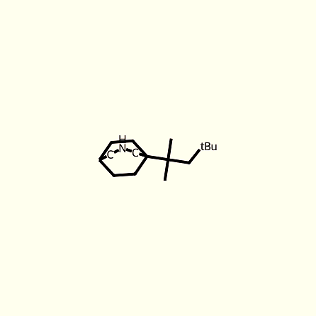 CC(C)(C)CC(C)(C)C12CCC(CC1)CNC2